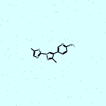 Cc1cnc(-n2cc(-c3ccc(N)nc3)c(C)n2)s1